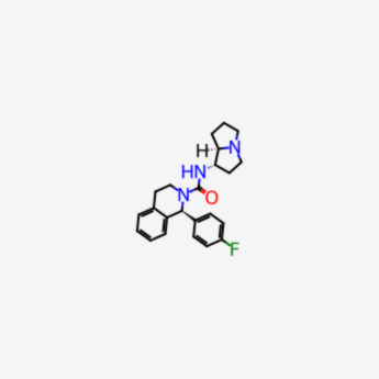 O=C(N[C@H]1CCN2CCC[C@H]12)N1CCc2ccccc2[C@@H]1c1ccc(F)cc1